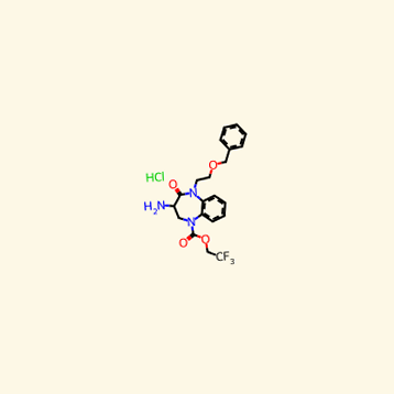 Cl.NC1CN(C(=O)OCC(F)(F)F)c2ccccc2N(CCOCc2ccccc2)C1=O